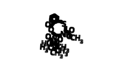 COC(=O)C1CSCc2ccccc2C(=O)OCC(N(O[Si](C)(C)C(C)(C)C)C(=O)O)C(=O)N1